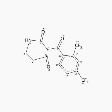 O=C1CCNC(=O)C1C(=O)c1ccc(C(F)(F)F)cc1C(F)(F)F